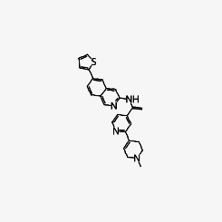 C=C(Nc1cc2cc(-c3cccs3)ccc2cn1)c1ccnc(C2=CCN(C)CC2)c1